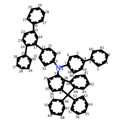 c1ccc(-c2ccc(N(c3ccc(-c4cc(-c5ccccc5)ccc4-c4ccccc4)cc3)c3cccc4c3-c3ccccc3C4(c3ccccc3)c3ccccc3)cc2)cc1